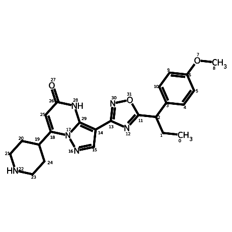 CCC(c1ccc(OC)cc1)c1nc(-c2cnn3c(C4CCNCC4)cc(=O)[nH]c23)no1